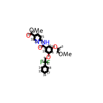 COC[C@H](C)Oc1cc(OCC(F)(F)c2ccccc2)cc(C(=O)Nc2ccc(C(=O)OC)cn2)c1